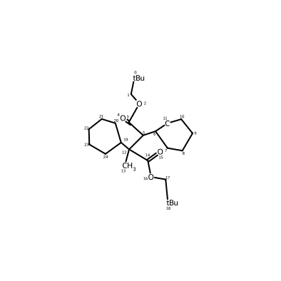 CC(C)(C)COC(=O)C(C1CCCCC1)C(C)(C(=O)OCC(C)(C)C)C1CCCCC1